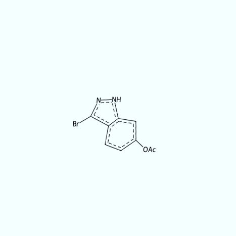 CC(=O)Oc1ccc2c(Br)n[nH]c2c1